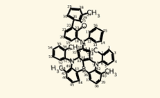 Cc1ccccc1N1c2cc(N(c3ccccc3)c3cccc4c3oc3c(C)cccc34)cc3c2B(c2cccc(C)c21)c1cccc(C)c1N3c1ccccc1C